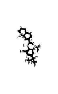 O=C(Nc1c(Br)cc(C(F)(C(F)(F)F)C(F)(F)F)cc1SC(F)F)c1ccc2ccc[n+]([O-])c2c1